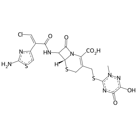 Cn1nc(O)c(=O)nc1SCC1=C(C(=O)O)N2C(=O)C(NC(=O)/C(=C/Cl)c3csc(N)n3)[C@H]2SC1